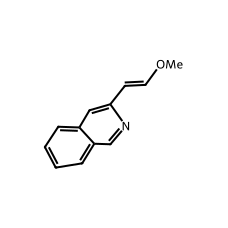 CO/C=C/c1cc2ccccc2cn1